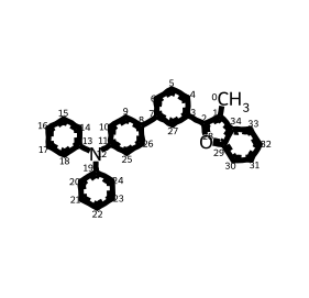 Cc1c(-c2cccc(-c3ccc(N(c4ccccc4)c4ccccc4)cc3)c2)oc2ccccc12